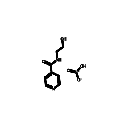 O=C(NCCO)c1ccncc1.O=[N+]([O-])O